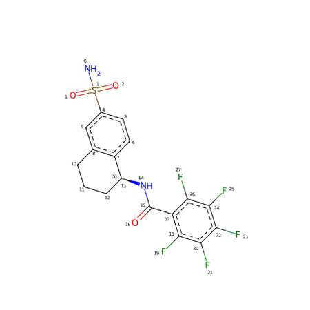 NS(=O)(=O)c1ccc2c(c1)CCC[C@@H]2NC(=O)c1c(F)c(F)c(F)c(F)c1F